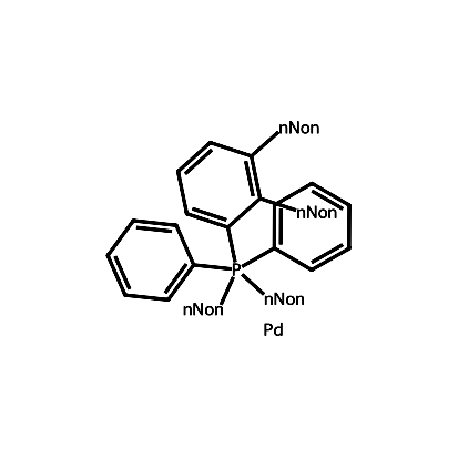 CCCCCCCCCc1cccc(P(CCCCCCCCC)(CCCCCCCCC)(c2ccccc2)c2ccccc2)c1CCCCCCCCC.[Pd]